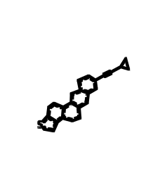 C(#CC1CC1)c1ccc2cc3c(ccc4c5ccsc5ccc34)cc2c1